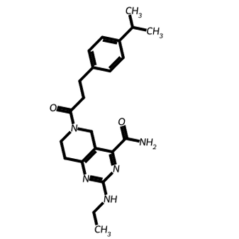 CCNc1nc2c(c(C(N)=O)n1)CN(C(=O)CCc1ccc(C(C)C)cc1)CC2